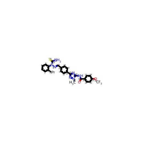 CC(C)c1ccccc1N(/N=C/c1ccc(-c2nc(NC(=O)c3ccc(OC(F)(F)F)cc3)n(C)n2)cc1)C(N)=S